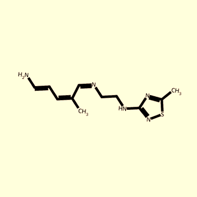 CC(/C=N\CCNc1nsc(C)n1)=C/C=C/N